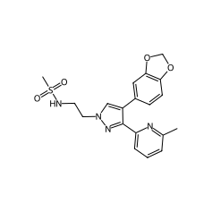 Cc1cccc(-c2nn(CCNS(C)(=O)=O)cc2-c2ccc3c(c2)OCO3)n1